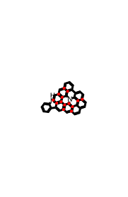 c1ccc(-c2ccccc2N(c2ccccc2-c2ccccc2)c2ccccc2-c2c(Cc3cccc4ccccc34)ccc3c2[nH]c2ccccc23)cc1